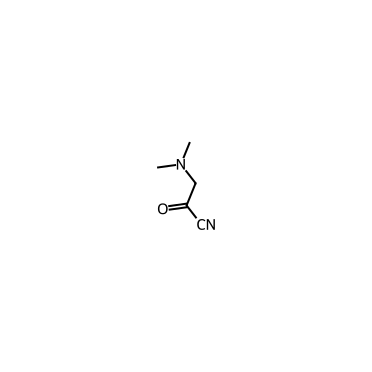 CN(C)CC(=O)C#N